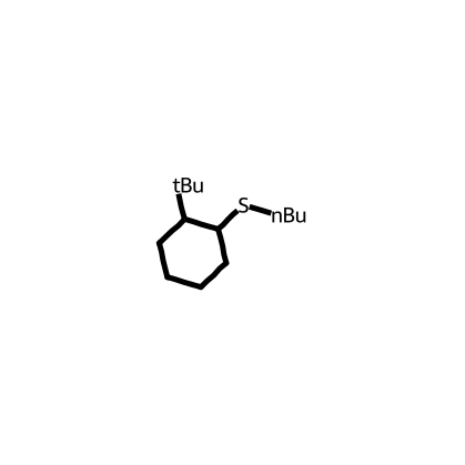 CCCCSC1CCCCC1C(C)(C)C